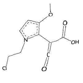 COc1ccn(CCCl)c1C(=C=O)C(=O)O